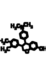 Cc1ccc(C2COc3cc(O)ccc3C2c2ccc(N(C)C)cc2)cc1C